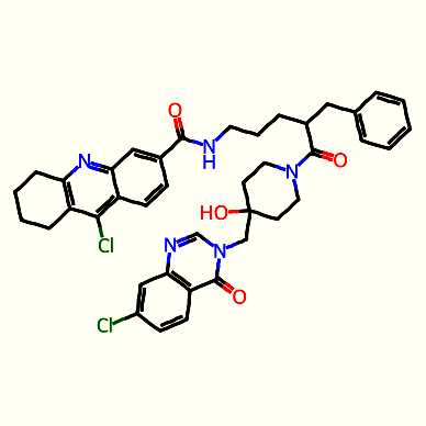 O=C(NCCCC(Cc1ccccc1)C(=O)N1CCC(O)(Cn2cnc3cc(Cl)ccc3c2=O)CC1)c1ccc2c(Cl)c3c(nc2c1)CCCC3